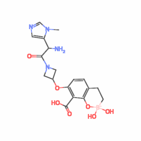 Cn1cncc1C(N)C(=O)N1CC(Oc2ccc3c(c2C(=O)O)O[B-](O)(O)CC3)C1